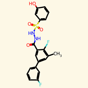 Cc1cc(-c2cccc(F)c2)cc(C(=O)NNS(=O)(=O)c2cccc(O)c2)c1F